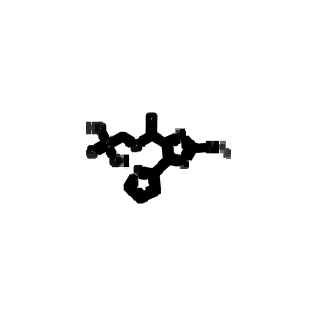 Nc1nc(C(=O)OCP(=O)(O)O)c(-c2cccs2)s1